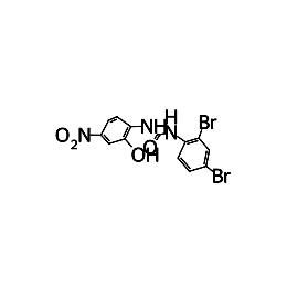 O=C(Nc1ccc([N+](=O)[O-])cc1O)Nc1ccc(Br)cc1Br